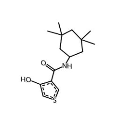 CC1(C)CC(NC(=O)c2cscc2O)CC(C)(C)C1